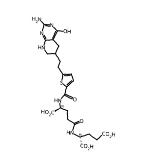 Nc1nc(O)c2c(n1)NCC(CCc1ccc(C(=O)N[C@@H](CCC(=O)N[C@H](CCC(=O)O)C(=O)O)C(=O)O)s1)C2